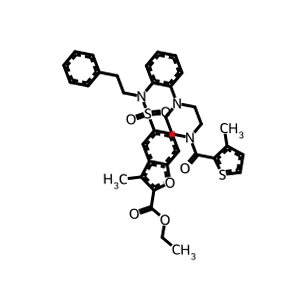 CCOC(=O)c1oc2ccc(S(=O)(=O)N(CCc3ccccc3)c3ccccc3N3CCN(C(=O)c4sccc4C)CC3)cc2c1C